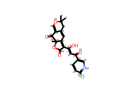 CC1(C)CC2=CC3=C(/C(O)=C/C(=O)c4ccc(Cl)nc4)C(=O)OC3(C)C(=O)C2=CO1